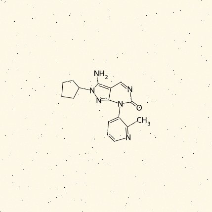 Cc1ncccc1-n1c(=O)ncc2c(N)n(C3CCCC3)nc21